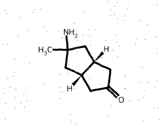 CC1(N)C[C@H]2CC(=O)C[C@H]2C1